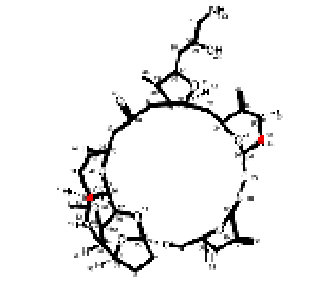 C=C1C[C@@H]2CC[C@]34CC[C@H](O3)[C@@H]3O[C@H]5CC[C@H](CC(=O)CC6[C@H](CC7O[C@@H](CCC1O2)C[C@@H](C)C7=C)O[C@H](C[C@H](O)CN)[C@@H]6C)O[C@@H]5[C@H](O4)[C@@H]3OC